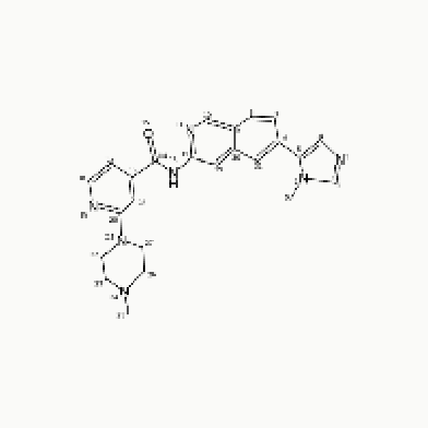 Cn1cncc1-c1ccc2cnc(NC(=O)c3ccnc(N4CCN(I)CC4)c3)cc2c1